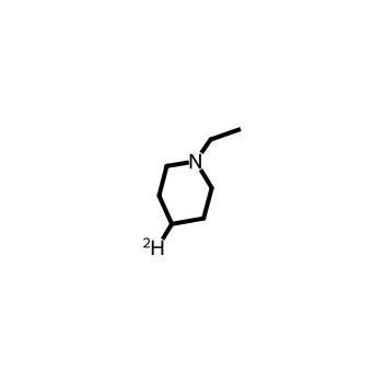 [2H]C1CCN(CC)CC1